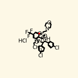 CCOc1cc(C(F)(F)F)ccc1C1(S(=O)(=O)CCN2CCOCC2)NC(c2ccc(Cl)cc2)C(c2ccc(Cl)cc2)N1.Cl